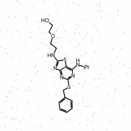 CC(C)Nc1nc(SCc2ccccc2)nc2nc(NCCOCCO)sc12